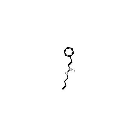 C=CCCO[SiH2]C=Cc1ccccc1